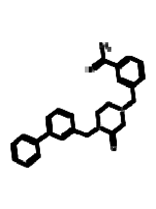 N=C(N)c1cccc(CN2CCN(Cc3cccc(-c4ccccc4)c3)C(=O)C2)c1